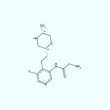 C[C@@H]1CO[C@H](CCc2c(F)cncc2NC(=O)CN)CN1